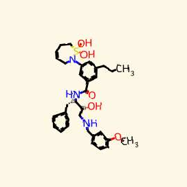 CCCc1cc(C(=O)N[C@@H](Cc2ccccc2)[C@H](O)CNCc2cccc(OC)c2)cc(N2CC=CCCS2(O)O)c1